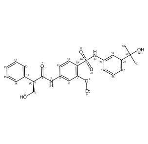 CCOc1cc(NC(=O)[C@@H](CO)c2ccccc2)ccc1S(=O)(=O)Nc1cccc(C(C)(C)O)c1